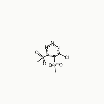 CS(=O)(=O)c1nnnc(Cl)c1S(C)(=O)=O